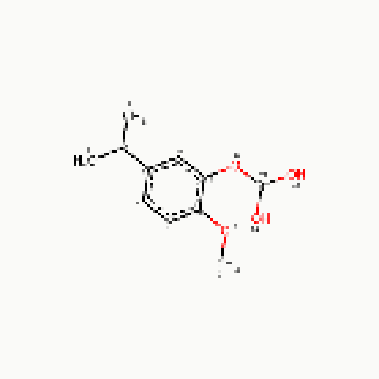 COc1ccc(C(C)C)cc1OB(O)O